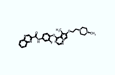 Cc1c(OCCN2CCN(C)CC2)cn2ncnc(Oc3ccc(NC(=O)c4cnc5ccccc5n4)cc3F)c12